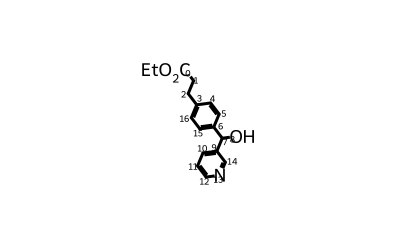 CCOC(=O)CCc1ccc(C(O)c2cccnc2)cc1